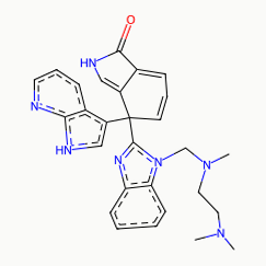 CN(C)CCN(C)Cn1c(C2(c3c[nH]c4ncccc34)C=CC=C3C(=O)NC=C32)nc2ccccc21